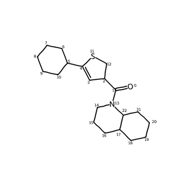 O=C(C1C=C(C2CCCCC2)SC1)N1CCCC2CCCCC21